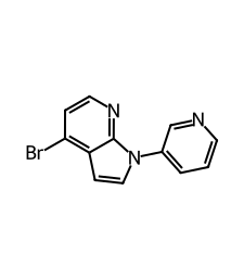 Brc1ccnc2c1ccn2-c1cccnc1